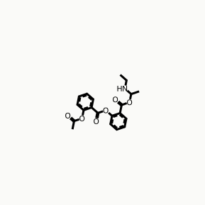 CCNC(C)OC(=O)c1ccccc1OC(=O)c1ccccc1OC(C)=O